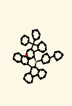 c1ccc(-c2ccc(N(c3cccc4c3-c3ccccc3C4(c3ccccc3)c3ccccc3)c3c(-c4ccc5ccccc5c4)c4ccccc4c4ccccc34)cc2)cc1